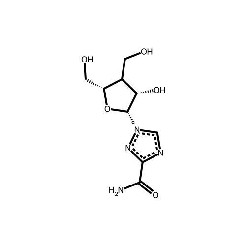 NC(=O)c1ncn([C@@H]2O[C@H](CO)C(CO)[C@@H]2O)n1